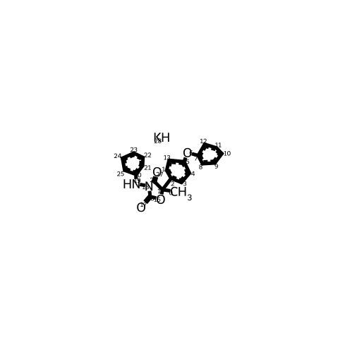 CC1(c2ccc(Oc3ccccc3)cc2)OC(=O)N(Nc2ccccc2)C1=O.[KH]